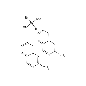 Cc1cc2ccccc2cn1.Cc1cc2ccccc2cn1.O=[N][W]([Br])([Br])[N]=O